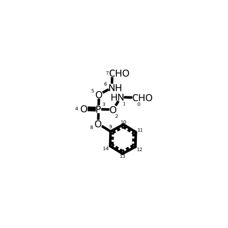 O=CNOP(=O)(ONC=O)Oc1ccccc1